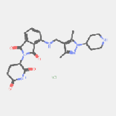 Cc1nn(C2CCNCC2)c(C)c1CNc1cccc2c1C(=O)N(C1CCC(=O)NC1=O)C2=O.Cl